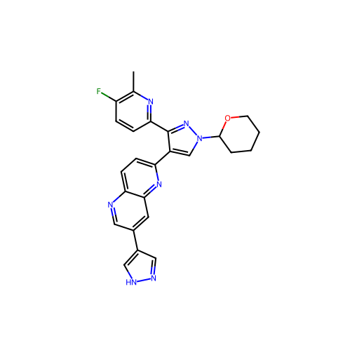 Cc1nc(-c2nn(C3CCCCO3)cc2-c2ccc3ncc(-c4cn[nH]c4)cc3n2)ccc1F